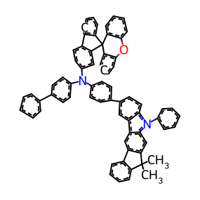 CC1(C)c2ccccc2-c2cc3c4cc(-c5ccc(N(c6ccc(-c7ccccc7)cc6)c6ccc7c(c6)C6(c8ccccc8Oc8ccccc86)c6ccccc6-7)cc5)ccc4n(-c4ccccc4)c3cc21